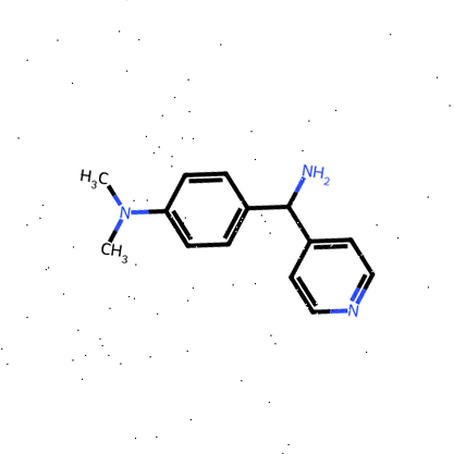 CN(C)c1ccc(C(N)c2ccncc2)cc1